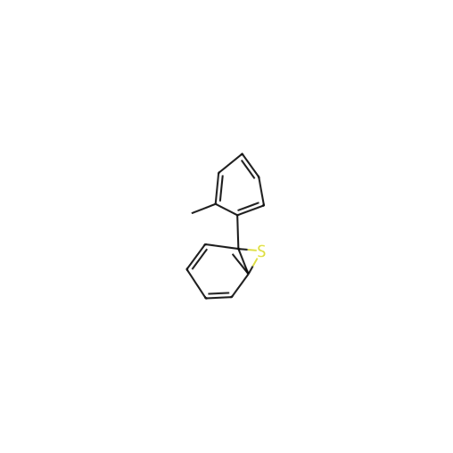 Cc1ccccc1C12C=CC=CC1(C)S2